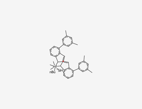 CCC[CH2][Hf]([CH3])([CH3])([CH3])(=[SiH2])([CH]1C=Cc2c(-c3cc(C)cc(C)c3)cccc21)[CH]1C=Cc2c(-c3cc(C)cc(C)c3)cccc21